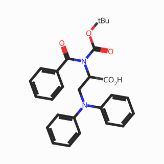 CC(C)(C)OC(=O)N(C(=O)c1ccccc1)C(CN(c1ccccc1)c1ccccc1)C(=O)O